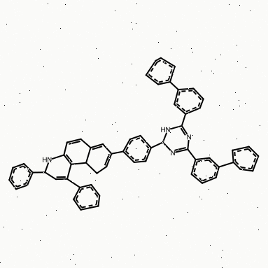 C1=CC2=C(C(c3ccccc3)=CC(c3ccccc3)N2)C2CC=C(c3ccc(C4N=C(c5cccc(-c6ccccc6)c5)N=C(c5cccc(-c6ccccc6)c5)N4)cc3)C=C12